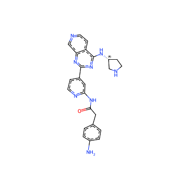 Nc1ccc(CC(=O)Nc2cc(-c3nc(N[C@@H]4CCNC4)c4ccncc4n3)ccn2)cc1